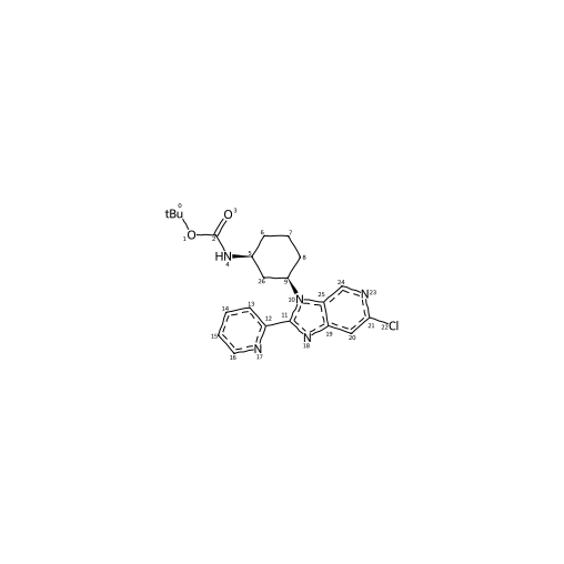 CC(C)(C)OC(=O)N[C@H]1CCC[C@@H](n2c(-c3ccccn3)nc3cc(Cl)ncc32)C1